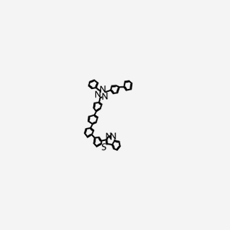 c1ccc(-c2ccc(-c3nc(-c4ccccc4)nc(-c4ccc(-c5ccc(-c6cccc(-c7ccc8sc9c%10ccccc%10nnc9c8c7)c6)cc5)cc4)n3)cc2)cc1